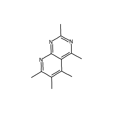 Cc1nc(C)c2c(C)c(C)c(C)nc2n1